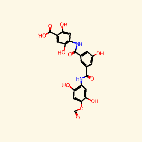 O=COc1cc(O)c(NC(=O)c2cc(O)cc(C(=O)Nc3cc(O)c(C(=O)O)cc3O)c2)cc1O